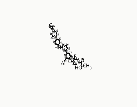 C[C@H](O)C(=O)N1CCC(Oc2ccc(-c3ccnc(Nc4ccc(N5CCN(C6COC6)CC5)cc4)n3)nc2C#N)C(F)(F)C1